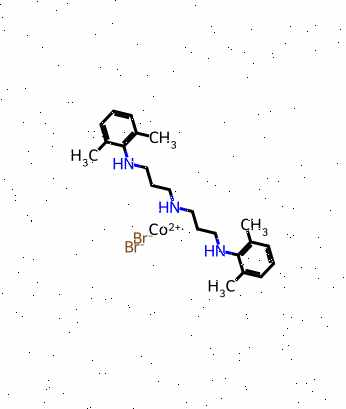 Cc1cccc(C)c1NCCCNCCCNc1c(C)cccc1C.[Br-].[Br-].[Co+2]